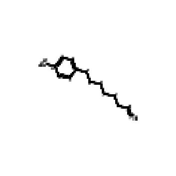 [CH]=CCCCCCCc1ccc(C(C)(C)C)cc1